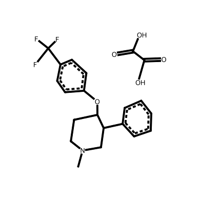 CN1CCC(Oc2ccc(C(F)(F)F)cc2)C(c2ccccc2)C1.O=C(O)C(=O)O